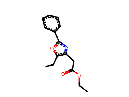 CCOC(=O)Cc1nc(-c2ccccc2)oc1CC